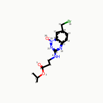 CC(C)OC(=O)CCNc1nc2ccc(CBr)cc2[n+]([O-])n1